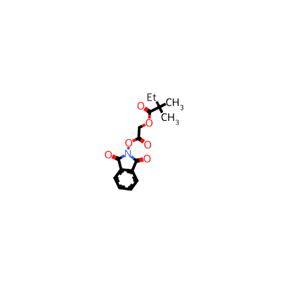 CCC(C)(C)C(=O)OCC(=O)ON1C(=O)c2ccccc2C1=O